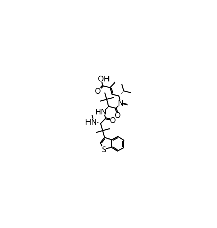 CN[C@H](C(=O)N[C@H](C(=O)N(C)[C@H](/C=C(\C)C(=O)O)C(C)C)C(C)(C)C)C(C)(C)c1csc2ccccc12